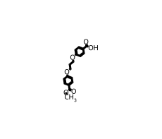 COC(=O)c1ccc(OCCCOc2ccc(C(=O)O)cc2)cc1